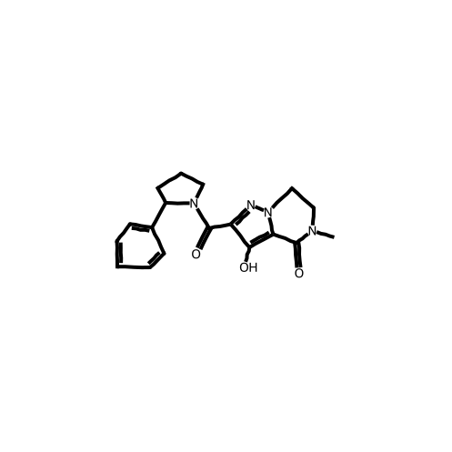 CN1CCn2nc(C(=O)N3CCCC3c3ccccc3)c(O)c2C1=O